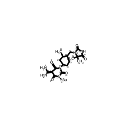 CCCCN1C(=O)C(=C(N)N)C(=O)N(C2CCC(CN3C(=O)NC(=O)C3(C)C)C(C)C2)C1=O